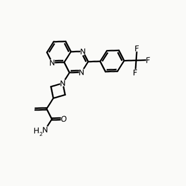 C=C(C(N)=O)C1CN(c2nc(-c3ccc(C(F)(F)F)cc3)nc3cccnc23)C1